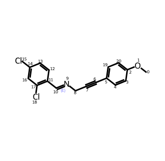 COc1ccc(C#CC/N=C/c2ccc(Cl)cc2Cl)cc1